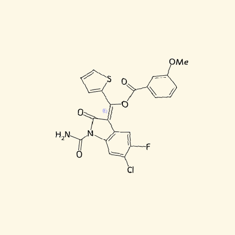 COc1cccc(C(=O)O/C(=C2/C(=O)N(C(N)=O)c3cc(Cl)c(F)cc32)c2cccs2)c1